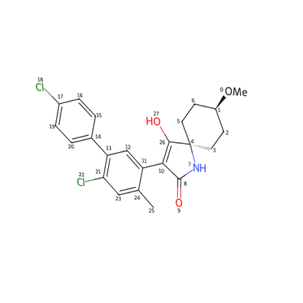 CO[C@H]1CC[C@]2(CC1)NC(=O)C(c1cc(-c3ccc(Cl)cc3)c(Cl)cc1C)=C2O